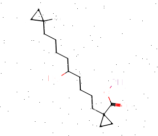 CC(=O)C1(CCCCC(O)CCCCC2(C(=O)OP)CC2)CC1